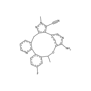 CC1Oc2cc(cnc2N)-c2c(nn(C)c2C#N)Cc2cccnc2-c2ccc(F)cc21